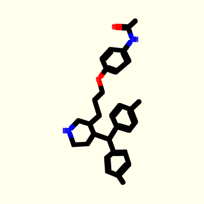 CC(=O)Nc1ccc(OCCCC2CNCCC2C(c2ccc(C)cc2)c2ccc(C)cc2)cc1